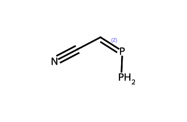 N#C/C=P\P